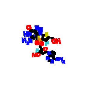 Nc1nc2c(nnn2[C@@H]2S[C@H](CO)[C@@H](F)[C@H]2P(=O)(S)OC[C@H]2O[C@@H](n3ccc4c(N)ncnc43)C[C@@]2(O)F)c(=O)[nH]1